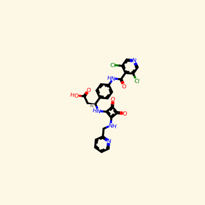 O=C(O)C[C@H](Nc1c(NCc2ccccn2)c(=O)c1=O)c1ccc(NC(=O)c2c(Cl)cncc2Cl)cc1